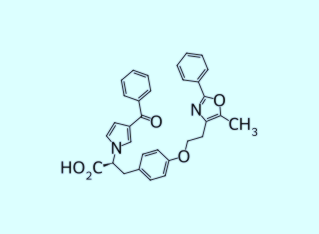 Cc1oc(-c2ccccc2)nc1CCOc1ccc(C[C@@H](C(=O)O)n2ccc(C(=O)c3ccccc3)c2)cc1